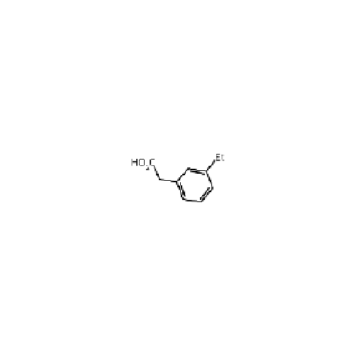 CCc1cccc(CC(=O)O)c1